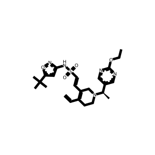 C=CC1=C(/C=C/S(=O)(=O)Nc2cc(C(C)(C)C)on2)CN([C@H](C)c2cnc(OCC)nc2)CC1